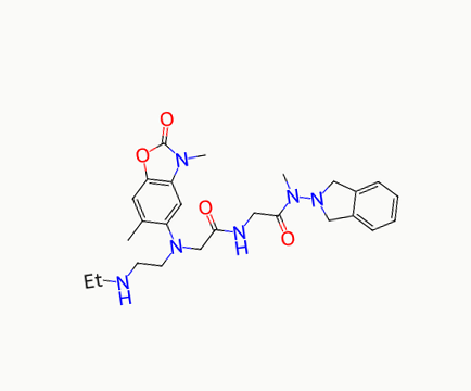 CCNCCN(CC(=O)NCC(=O)N(C)N1Cc2ccccc2C1)c1cc2c(cc1C)oc(=O)n2C